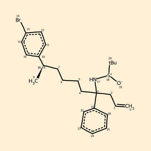 C=CCC(CCCC[C@@H](C)c1ccc(Br)cc1)(N[S+]([O-])C(C)(C)C)c1ccccc1